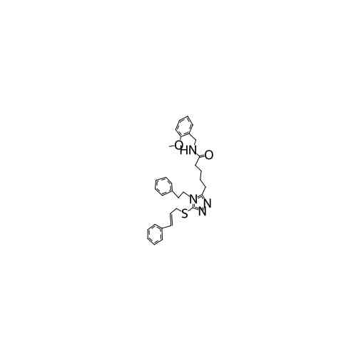 COc1ccccc1CNC(=O)CCCCc1nnc(SC/C=C/c2ccccc2)n1CCc1ccccc1